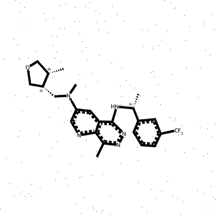 Cc1nnc(N[C@H](C)c2cccc(C(F)(F)F)c2)c2cc(N(C)C[C@@H]3COC[C@@H]3C)cnc12